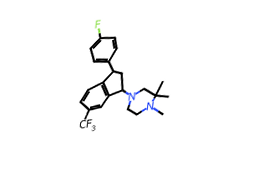 CN1CCN(C2CC(c3ccc(F)cc3)c3ccc(C(F)(F)F)cc32)CC1(C)C